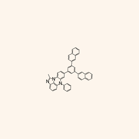 Cc1nc2cccc3c2n1-c1ccc(-c2cc(-c4ccc5ccccc5c4)cc(-c4ccc5ccccc5c4)c2)cc1N3c1ccccc1